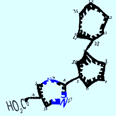 O=C(O)c1cnc(-c2cccc(-c3ccccc3)c2)nc1